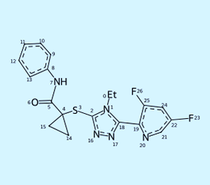 CCn1c(SC2(C(=O)Nc3ccccc3)CC2)nnc1-c1ncc(F)cc1F